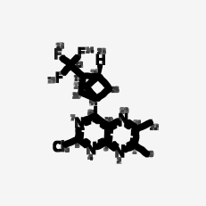 Cc1nc2nc(Cl)nc([C@]34CC(C(F)(F)F)[C@@H](C3)C4)c2nc1C